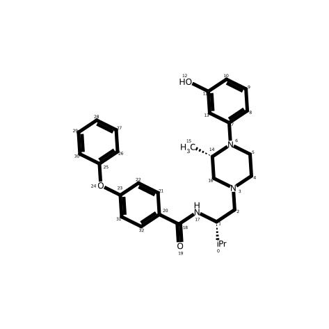 CC(C)[C@@H](CN1CCN(c2cccc(O)c2)[C@@H](C)C1)NC(=O)c1ccc(Oc2ccccc2)cc1